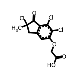 CC1(Cl)Cc2cc(OCC(=O)O)c(Cl)c(Cl)c2C1=O